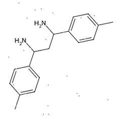 Cc1ccc(C(N)CC(N)c2ccc(C)cc2)cc1